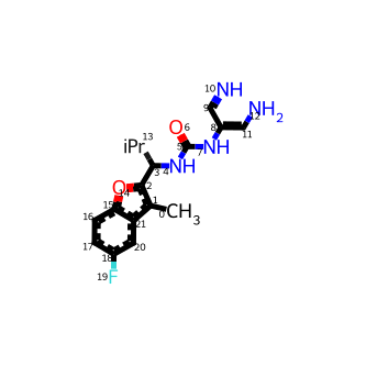 Cc1c(C(NC(=O)N/C(C=N)=C/N)C(C)C)oc2ccc(F)cc12